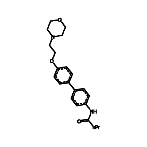 CCCC(=O)Nc1ccc(-c2ccc(OCCN3CCOCC3)cc2)cc1